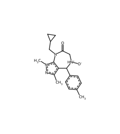 Cc1ccc(C2c3c(C)nn(C)c3N(CC3CC3)C(=O)C[NH+]2[O-])cc1